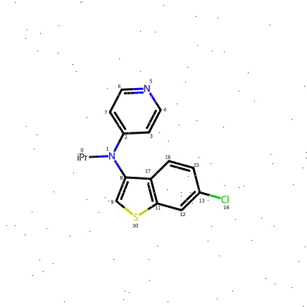 CC(C)N(c1ccncc1)c1csc2cc(Cl)ccc12